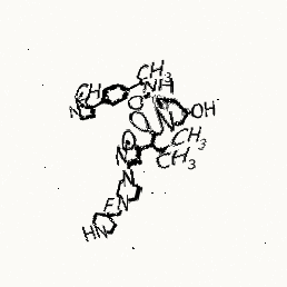 CC(NC(=O)[C@@H]1C[C@@H](O)CN1C(=O)C(c1cc(N2CCN(CC3(F)CCNCC3)CC2)no1)C(C)C)c1ccc(-c2ccnn2C)cc1